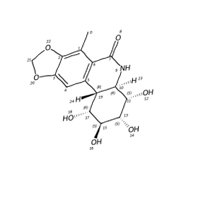 Cc1c2c(cc3c1C(=O)N[C@H]1[C@H](O)[C@H](O)[C@@H](O)[C@H](O)[C@H]31)OCO2